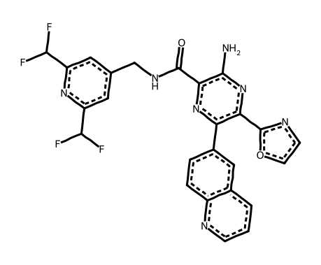 Nc1nc(-c2ncco2)c(-c2ccc3ncccc3c2)nc1C(=O)NCc1cc(C(F)F)nc(C(F)F)c1